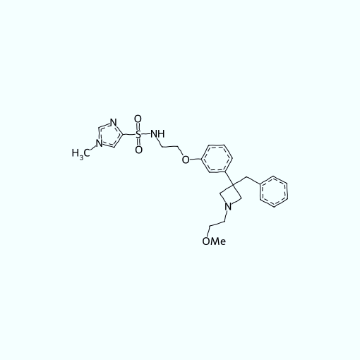 COCCN1CC(Cc2ccccc2)(c2cccc(OCCNS(=O)(=O)c3cn(C)cn3)c2)C1